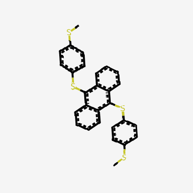 CSc1ccc(Sc2c3ccccc3c(Sc3ccc(SC)cc3)c3ccccc23)cc1